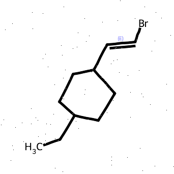 CCC1CCC(/C=C/Br)CC1